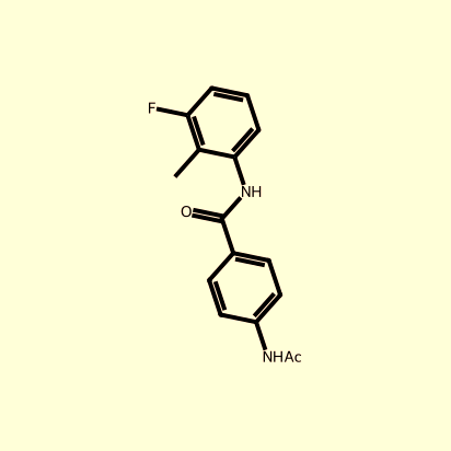 CC(=O)Nc1ccc(C(=O)Nc2cccc(F)c2C)cc1